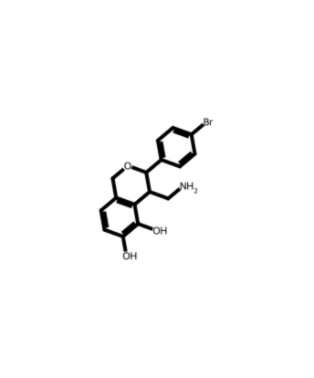 NCC1c2c(ccc(O)c2O)COC1c1ccc(Br)cc1